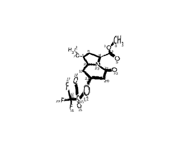 COC(=O)[C@@H]1C[C@@H](OC)C2CC(OS(=O)(=O)C(F)(F)F)=CC(=O)N21